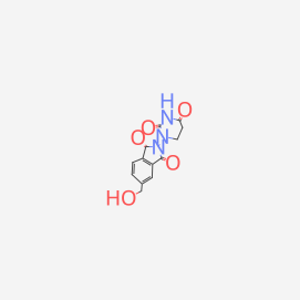 O=C1CCN(N2C(=O)c3ccc(CO)cc3C2=O)C(=O)N1